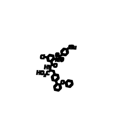 CC(C)(C)c1ccc(S(=O)(=O)Nc2ccc(Cl)cc2C(=O)N[C@@H](Cc2ccc(-c3ccccc3Oc3ccccc3)cc2)C(=O)O)cc1